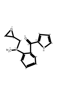 CN(CC1CO1)c1ccccc1C(=O)c1cccs1